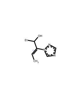 C/C=C(/C(O)CC)n1cncn1